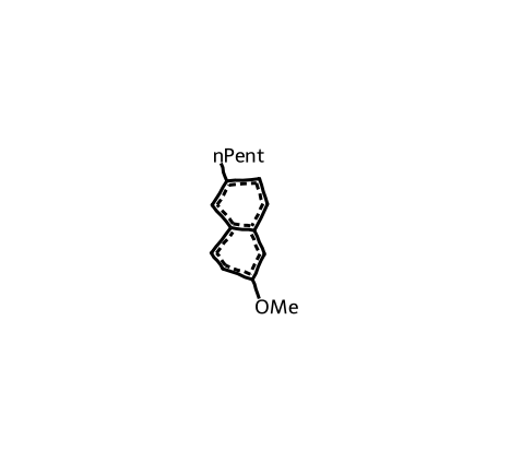 CCCCCc1ccc2cc(OC)ccc2c1